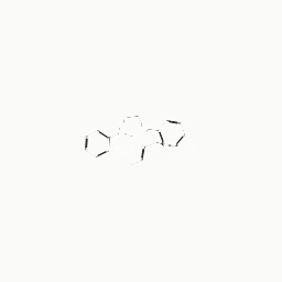 C/C=C(/CC(=O)O)[P]1(O)N(c2ccccc2)CCN1c1ccccc1